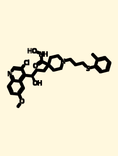 COc1ccc2ncc(Cl)c([C@H](O)CCC3(C(=O)NO)CCN(CCCSc4ccccc4C)CC3)c2c1